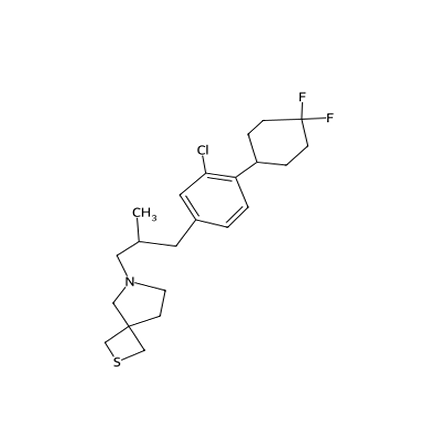 CC(Cc1ccc(C2CCC(F)(F)CC2)c(Cl)c1)CN1CCC2(CSC2)C1